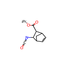 CC(C)OC(=O)C1C2C=CC(C2)C1N=C=O